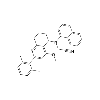 COc1cc(-c2c(C)cccc2C)nc2c1C(N(CC#N)c1cccc3ccccc13)CCC2